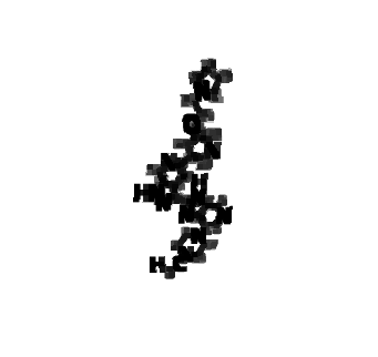 CN1CCN(c2cncc3[nH]c(-c4n[nH]c5cnc(-c6cncc(OCCN7CCCC7)c6)cc45)nc23)CC1